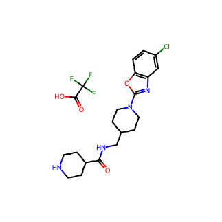 O=C(NCC1CCN(c2nc3cc(Cl)ccc3o2)CC1)C1CCNCC1.O=C(O)C(F)(F)F